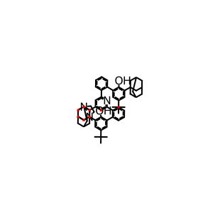 CC(C)(C)c1cc(-c2ccccc2-c2cc(C3N4CCCN3CC4)cc(-c3ccccc3-c3cc(C(C)(C)C)cc(C45CC6CC(CC(C6)C4)C5)c3O)n2)c(O)c(C23CC4CC(CC(C4)C2)C3)c1